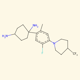 Cc1cc(N2CCC(C(F)(F)F)CC2)c(F)cc1C1(N)CCC(N)CC1